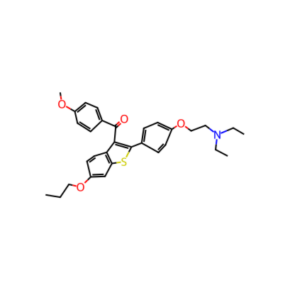 CCCOc1ccc2c(C(=O)c3ccc(OC)cc3)c(-c3ccc(OCCN(CC)CC)cc3)sc2c1